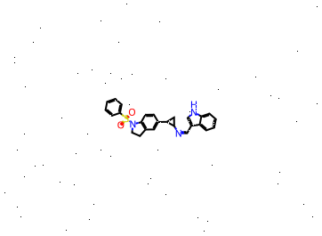 O=S(=O)(c1ccccc1)N1CCc2cc(C3CC3/N=C\c3c[nH]c4ccccc34)ccc21